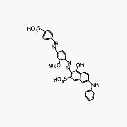 COc1cc(N=Nc2ccc(S(=O)(=O)O)cc2)ccc1N=Nc1c(S(=O)(=O)O)cc2cc(Nc3ccccc3)ccc2c1O